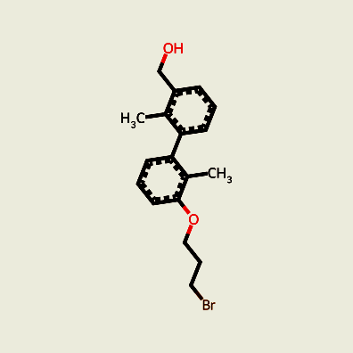 Cc1c(CO)cccc1-c1cccc(OCCCBr)c1C